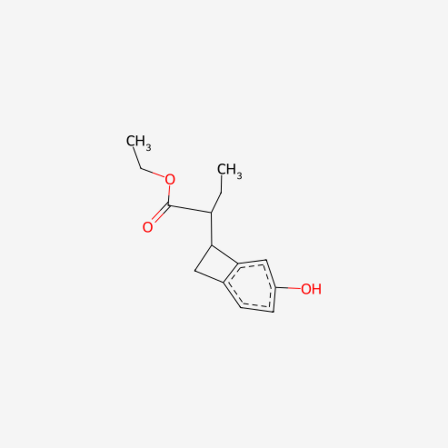 CCOC(=O)C(CC)C1Cc2ccc(O)cc21